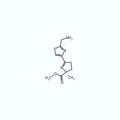 COC(=O)[C@]1(C)CSC(c2csc(CN)n2)=N1